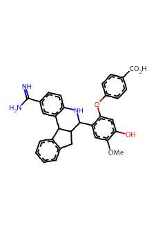 COc1cc(C2Nc3ccc(C(=N)N)cc3C3c4ccccc4CC23)c(Oc2ccc(C(=O)O)cc2)cc1O